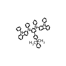 CC(C)(c1ccccc1)c1ccc(-c2cc(N(c3ccccc3)c3ccc4c5ccccc5n(-c5ccccc5)c4c3)cc(N(c3ccccc3)c3ccc4c5ccccc5n(-c5ccccc5)c4c3)c2)cc1